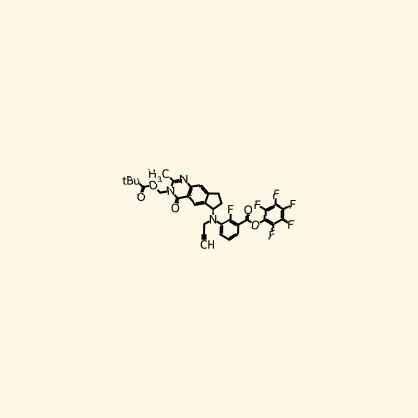 C#CCN(c1cccc(C(=O)Oc2c(F)c(F)c(F)c(F)c2F)c1F)[C@@H]1CCc2cc3nc(C)n(COC(=O)C(C)(C)C)c(=O)c3cc21